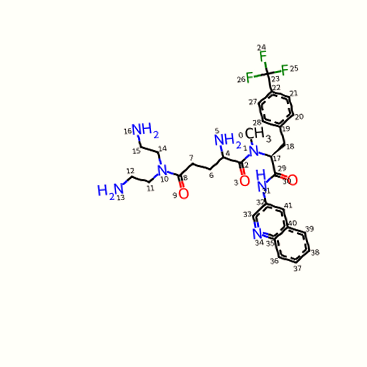 CN(C(=O)C(N)CCC(=O)N(CCN)CCN)[C@@H](Cc1ccc(C(F)(F)F)cc1)C(=O)Nc1cnc2ccccc2c1